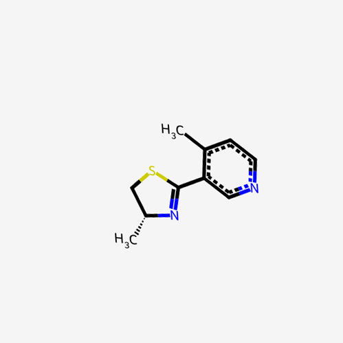 Cc1ccncc1C1=N[C@H](C)CS1